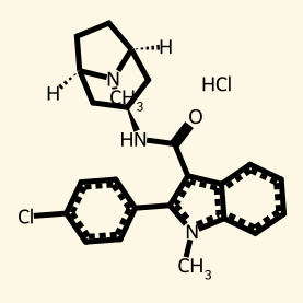 CN1[C@@H]2CC[C@H]1C[C@@H](NC(=O)c1c(-c3ccc(Cl)cc3)n(C)c3ccccc13)C2.Cl